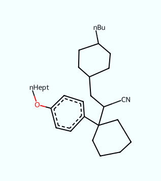 CCCCCCCOc1ccc(C2(C(C#N)CC3CCC(CCCC)CC3)CCCCC2)cc1